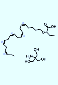 CC/C=C\C/C=C\C/C=C\C/C=C\C/C=C\CCCCOC(CC)C(=O)O.NC(CO)(CO)CO